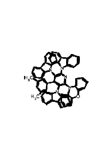 Cc1cc(C)cc(-c2c(-n3c4ccccc4c4ccccc43)c(N3c4ccccc4Oc4ccccc43)nc(-n3c4ccccc4c4ccccc43)c2-n2c3ccccc3c3ccccc32)c1